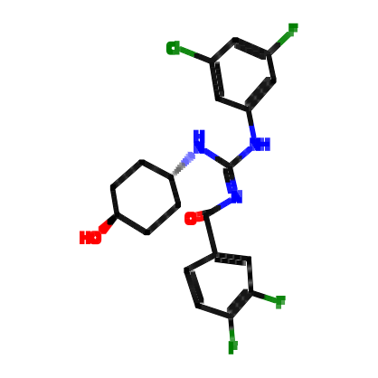 O=C(/N=C(/Nc1cc(F)cc(Cl)c1)N[C@H]1CC[C@H](O)CC1)c1ccc(F)c(F)c1